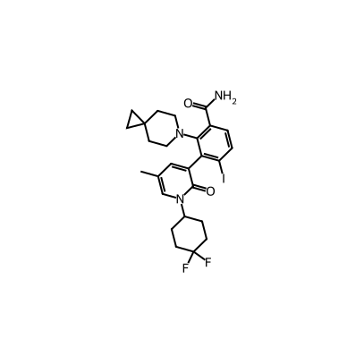 Cc1cc(-c2c(I)ccc(C(N)=O)c2N2CCC3(CC2)CC3)c(=O)n(C2CCC(F)(F)CC2)c1